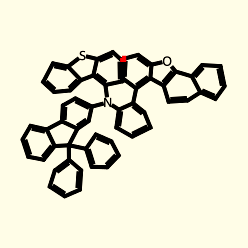 c1ccc(C2(c3ccccc3)c3ccccc3-c3ccc(N(c4ccccc4-c4cccc5oc6c7ccccc7ccc6c45)c4cccc5sc6ccccc6c45)cc32)cc1